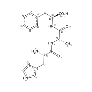 C[C@H](NC(=O)[C@@H](N)Cc1c[nH]cn1)C(=O)N[C@@H](Cc1ccccc1)C(=O)O